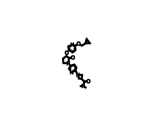 CN(C)C(=O)C1CN(c2ccc(N3CC[C@@H](Oc4ccc(OCC5CC5)nc4)C3=O)cn2)C1